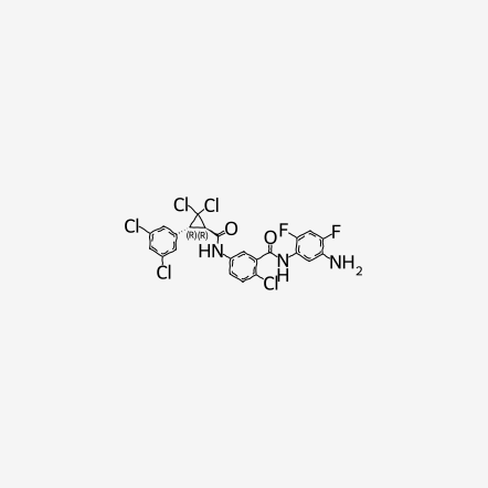 Nc1cc(NC(=O)c2cc(NC(=O)[C@H]3[C@H](c4cc(Cl)cc(Cl)c4)C3(Cl)Cl)ccc2Cl)c(F)cc1F